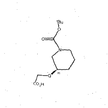 CC(C)(C)OC(=O)N1CCC[C@@H](OCC(=O)O)C1